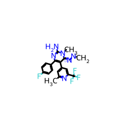 C=N/N=c1/c(-c2cc(C)nc(C(F)(F)F)c2)c(-c2ccc(F)cc2)nc(N)n1C